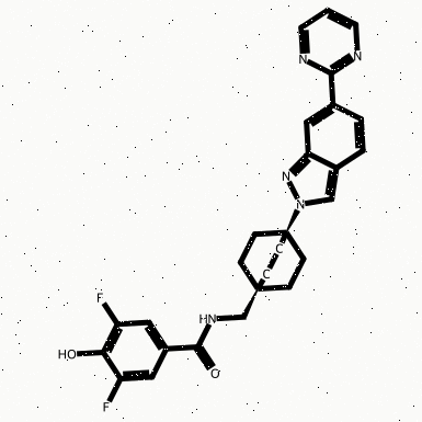 O=C(NC[C@]12CC[C@](n3cc4ccc(-c5ncccn5)cc4n3)(CC1)CC2)c1cc(F)c(O)c(F)c1